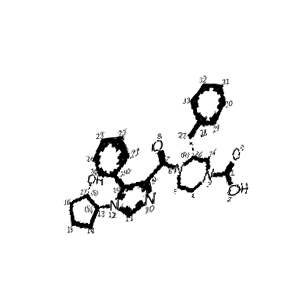 O=C(O)N1CCN(C(=O)c2ncn([C@H]3CCC[C@@H]3O)c2-c2ccccc2)[C@H](Cc2ccccc2)C1